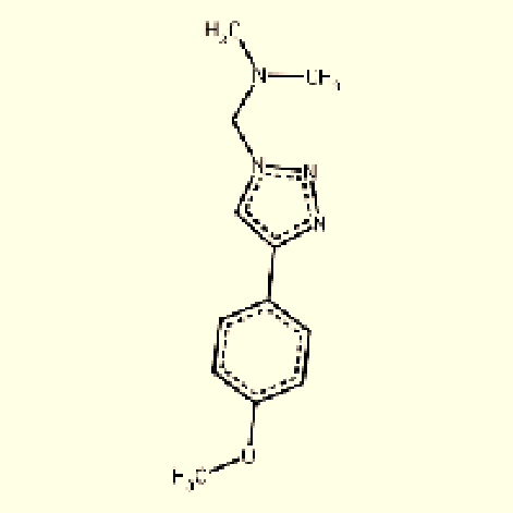 COc1ccc(-c2cn(CN(C)C)nn2)cc1